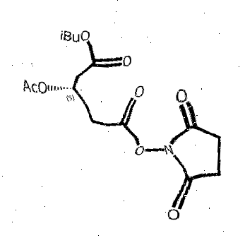 CC(=O)O[C@@H](CC(=O)ON1C(=O)CCC1=O)C(=O)OCC(C)C